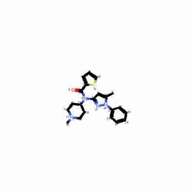 Cc1cc(N(C(=O)c2cccs2)C2CCN(C)CC2)nn1-c1ccccc1